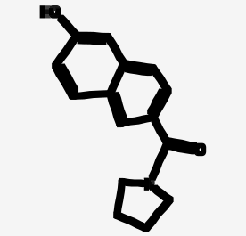 O=C(c1ccc2cc(O)ccc2c1)N1CCCC1